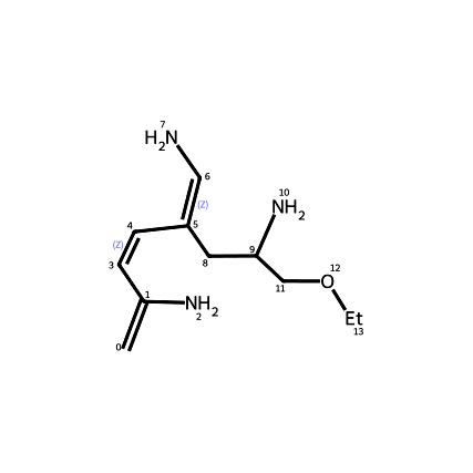 C=C(N)/C=C\C(=C/N)CC(N)COCC